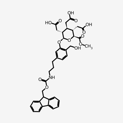 COC(=O)[C@H]1O[C@@H](Oc2cc(CCCNC(=O)OCC3c4ccccc4-c4ccccc43)ccc2CO)[C@H](CC(=O)O)[C@@H](CC(=O)O)[C@@H]1CC(=O)O